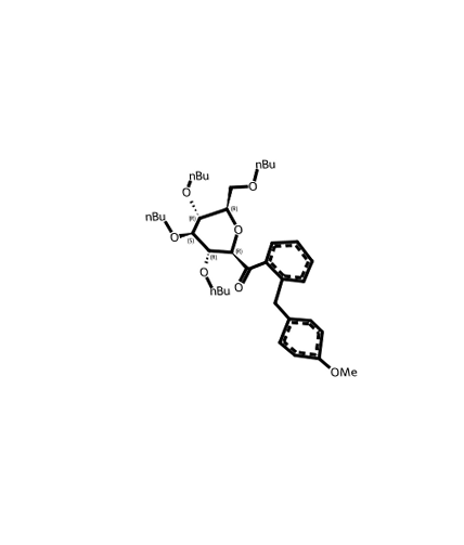 CCCCOC[C@H]1O[C@@H](C(=O)c2ccccc2Cc2ccc(OC)cc2)[C@H](OCCCC)[C@@H](OCCCC)[C@@H]1OCCCC